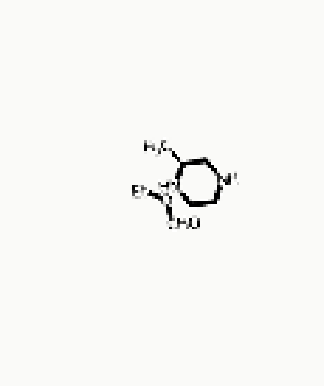 CCOC=O.C[C@H]1CNCCN1